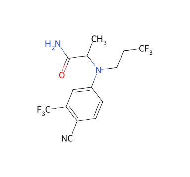 CC(C(N)=O)N(CCC(F)(F)F)c1ccc(C#N)c(C(F)(F)F)c1